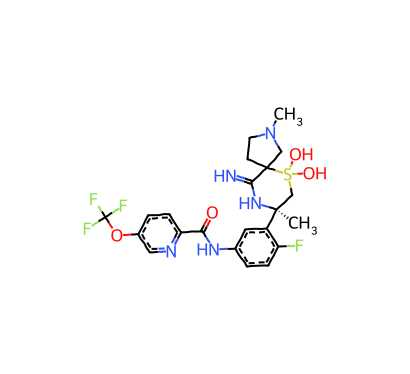 CN1CCC2(C1)C(=N)N[C@](C)(c1cc(NC(=O)c3ccc(OC(F)(F)F)cn3)ccc1F)CS2(O)O